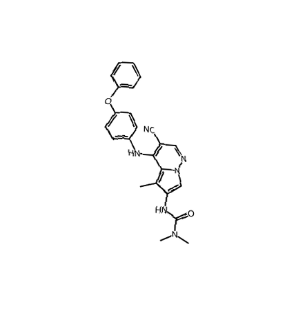 Cc1c(NC(=O)N(C)C)cn2ncc(C#N)c(Nc3ccc(Oc4ccccc4)cc3)c12